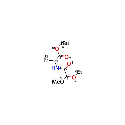 CCOC(OC)C(=O)N[C@H](C(=O)OC(C)(C)C)C(C)C